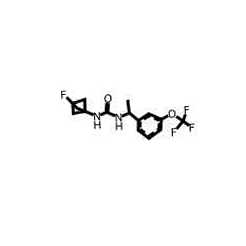 CC(NC(=O)NC12CC(F)(C1)C2)c1cccc(OC(F)(F)F)c1